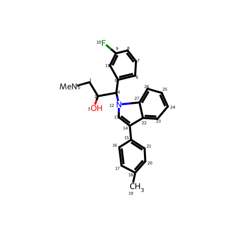 CNCC(O)C(c1cccc(F)c1)n1cc(-c2ccc(C)cc2)c2ccccc21